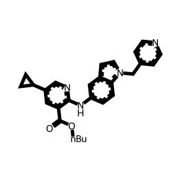 CCCCOC(=O)c1cc(C2CC2)cnc1Nc1ccc2c(ccn2Cc2ccncc2)c1